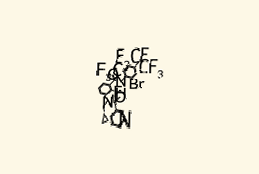 O=C(Nc1c(Br)cc(C(F)(C(F)(F)F)C(F)(F)F)cc1C(F)(F)F)c1cccc(N(CC2CC2)C(=O)c2cccnc2)c1F